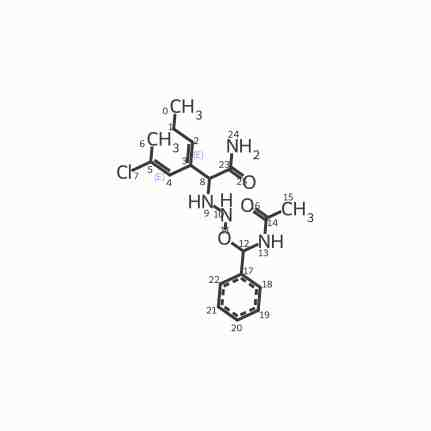 CC/C=C(\C=C(/C)Cl)C(NNOC(NC(C)=O)c1ccccc1)C(N)=O